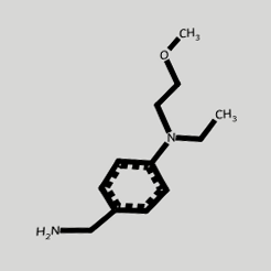 CCN(CCOC)c1ccc(CN)cc1